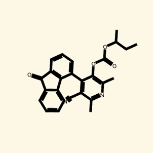 CCC(C)OC(=O)Oc1c(C)nc(C)c(C#N)c1-c1cccc2c1-c1ccccc1C2=O